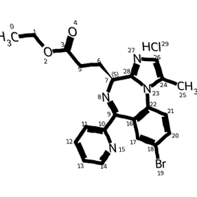 CCOC(=O)CC[C@@H]1N=C(c2ccccn2)c2cc(Br)ccc2-n2c(C)cnc21.Cl